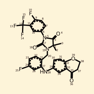 CC1(C)C(=O)N(c2ccc(F)c(C(F)(F)F)c2)C(=O)N1Cc1ccc(F)cc1Nc1ccc2c(c1)C(=O)CCO2